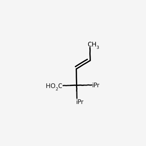 CC=CC(C(=O)O)(C(C)C)C(C)C